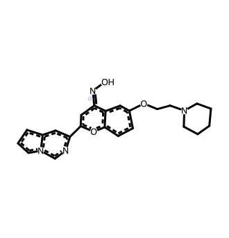 O/N=c1/cc(-c2cc3cccn3cn2)oc2ccc(OCCN3CCCCC3)cc12